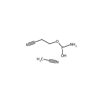 CC#N.N#CCCOP(N)O